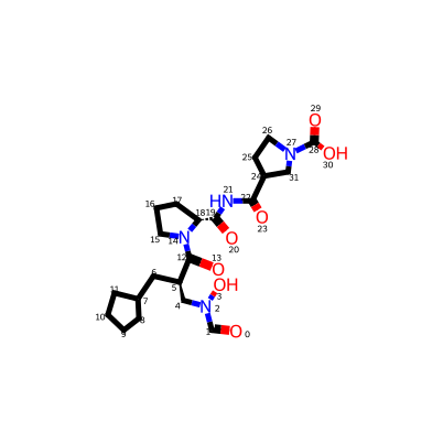 O=CN(O)C[C@@H](CC1CCCC1)C(=O)N1CCC[C@@H]1C(=O)NC(=O)C1CCN(C(=O)O)C1